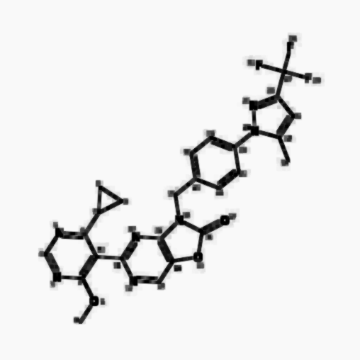 COc1ncnc(C2CC2)c1-c1ncc2oc(=O)n(Cc3ccc(-n4nc(C(F)(F)F)cc4C)cc3)c2n1